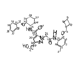 Cc1ccc(OCC2CCC2)c(NC(=O)Cn2nc(C(=O)O)cc2C(=O)N[C@H]2CCCC[C@@H]2OCc2ccccc2)c1